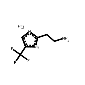 Cl.NCCc1ncc(C(F)(F)F)[nH]1